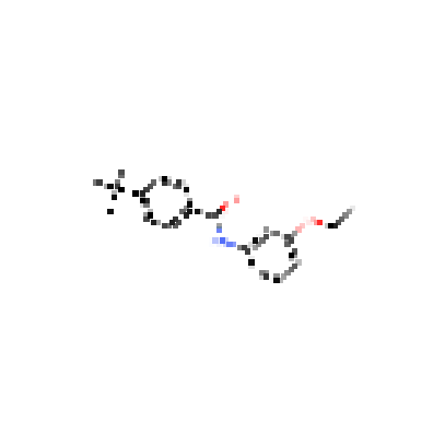 CCOc1cccc(NC(=O)c2ccc(C(C)(C)C)cc2)c1